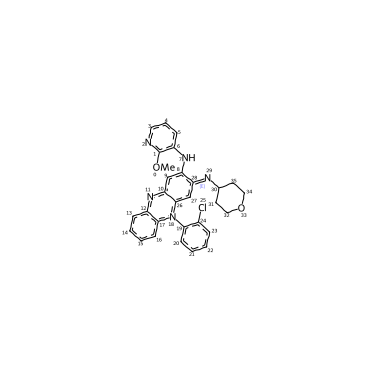 COc1ncccc1Nc1cc2nc3ccccc3n(-c3ccccc3Cl)c-2c/c1=N\C1CCOCC1